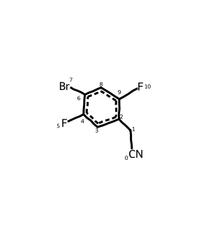 N#CCc1cc(F)c(Br)cc1F